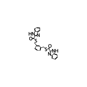 O=C(SCc1cccc(CSC(=O)c2nc3ccccc3[nH]2)c1)c1nc2ccccc2[nH]1